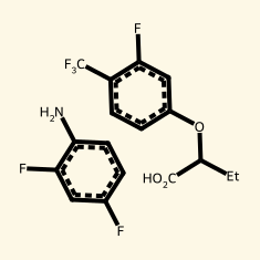 CCC(Oc1ccc(C(F)(F)F)c(F)c1)C(=O)O.Nc1ccc(F)cc1F